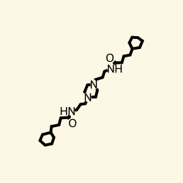 O=C(CCCC1CCCCC1)NCCCN1CCN(CCCNC(=O)CCCC2CCCCC2)CC1